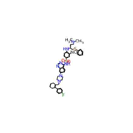 CN(C)CCC(CSc1ccccc1)Nc1ccc(S(=O)(=O)Nc2ncnc3cc(N4CCN(CC5=C(c6ccc(F)cc6)CCCC5)CC4)ccc23)cc1[N+](=O)[O-]